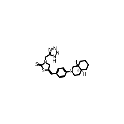 S=C1SC(=Cc2ccc(N3CC[C@@H]4CCCC[C@H]4C3)cc2)CN1Cc1nnn[nH]1